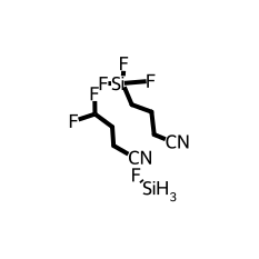 F[SiH3].N#CCCC(F)F.N#CCCC[Si](F)(F)F